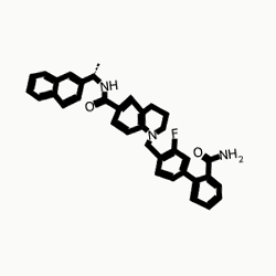 C[C@H](NC(=O)c1ccc2c(c1)CCCN2Cc1ccc(-c2ccccc2C(N)=O)cc1F)c1ccc2ccccc2c1